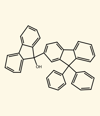 OC1(c2ccc3c(c2)C(c2ccccc2)(c2ccccc2)c2ccccc2-3)c2ccccc2-c2ccccc21